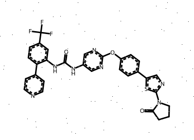 O=C(Nc1cnc(Oc2ccc(-c3cnc(N4CCCC4=O)s3)cc2)nc1)Nc1cc(C(F)(F)F)ccc1-c1ccncc1